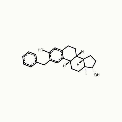 C[C@]12CC[C@@H]3c4cc(Cc5ccccc5)c(O)cc4CC[C@@H]3[C@@H]1CC[C@@H]2O